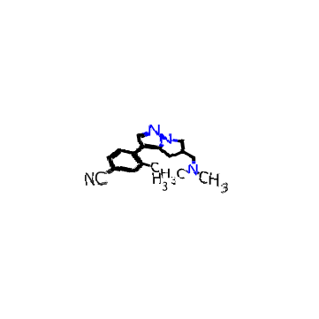 Cc1cc(C#N)ccc1-c1cnn2c1CC(CN(C)C)C2